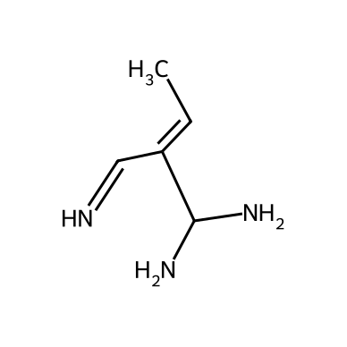 C/C=C(\C=N)C(N)N